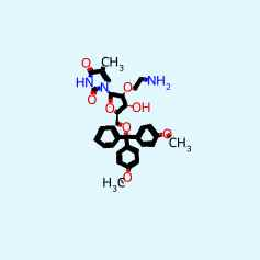 COc1ccc(C(OC[C@H]2O[C@@H](n3cc(C)c(=O)[nH]c3=O)[C@H](OCCN)[C@@H]2O)(c2ccccc2)c2ccc(OC)cc2)cc1